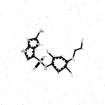 CC(C)(C)c1nc2[nH]cc(S(=O)(=O)Nc3cc(F)c(OCCF)cc3F)c2s1